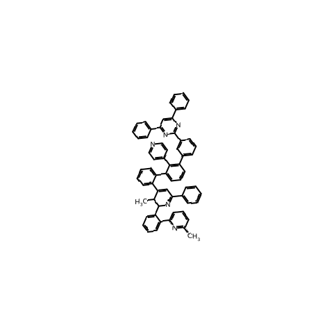 Cc1cccc(-c2ccccc2C2N=C(c3ccccc3)C=C(c3ccccc3-c3cccc(-c4cccc(-c5nc(-c6ccccc6)cc(-c6ccccc6)n5)c4)c3-c3ccncc3)C2C)n1